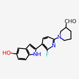 O=CC1CCCN(c2ccc(-c3cc4cc(O)ccc4[nH]3)c(F)n2)C1